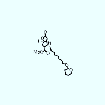 COC(=O)[C@H]1C[C@H]2OC(=O)C[C@@H]2[C@@H]1C=CCCCCCCOC1CCCCO1